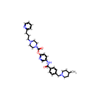 CC1CCN(Cc2ccc(C(=O)Nc3ccc(OC(=O)N4CCN(CCCc5ccccn5)CC4)nc3)cc2)CC1